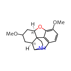 COc1ccc2c3c1O[C@@H]1CC(OC)C[C@@H]4C(C2)NCCC341